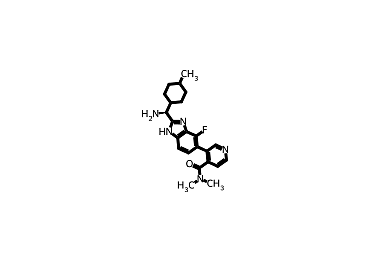 CC1CCC([C@H](N)c2nc3c(F)c(-c4cnccc4C(=O)N(C)C)ccc3[nH]2)CC1